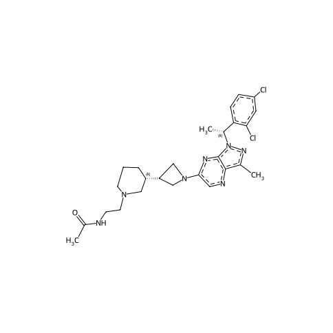 CC(=O)NCCN1CCC[C@H](C2CN(c3cnc4c(C)nn([C@H](C)c5ccc(Cl)cc5Cl)c4n3)C2)C1